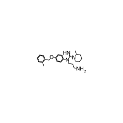 Cc1ccccc1COc1ccc(N(CCCN)C(=N)N2CCCCC2C)cc1